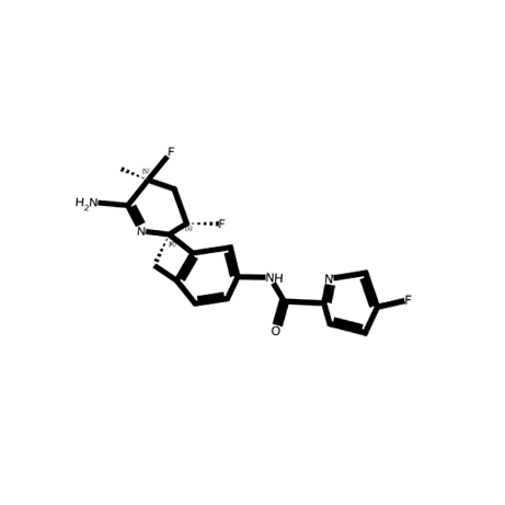 C[C@]1(F)C[C@H](F)[C@]2(Cc3ccc(NC(=O)c4ccc(F)cn4)cc32)N=C1N